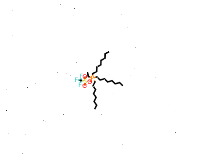 CCCCCCCCP(CC)(CCCCCCCC)(CCCCCCCC)OS(=O)(=O)C(F)(F)F